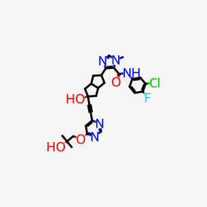 Cn1cnc(C2CC3CC(O)(C#Cc4cc(OCC(C)(C)O)ncn4)CC3C2)c1C(=O)Nc1ccc(F)c(Cl)c1